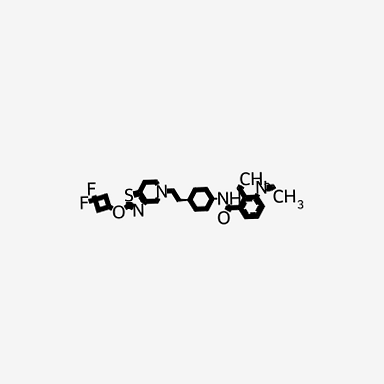 C=Cc1c(/N=C\C)cccc1C(=O)N[C@H]1CC[C@H](CCN2CCc3sc(OC4CC(F)(F)C4)nc3C2)CC1